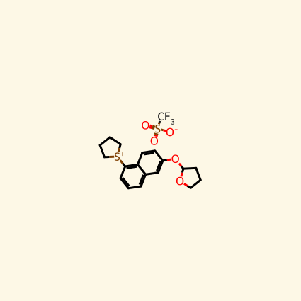 O=S(=O)([O-])C(F)(F)F.c1cc([S+]2CCCC2)c2ccc(OC3CCCO3)cc2c1